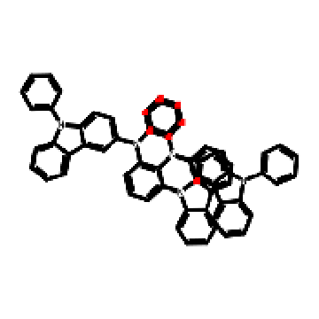 c1ccc(N(c2ccc3c(c2)c2ccccc2n3-c2ccccc2)c2cccc(-n3c4ccccc4c4ccccc43)c2N(c2ccccc2)c2ccc3c(c2)c2ccccc2n3-c2ccccc2)cc1